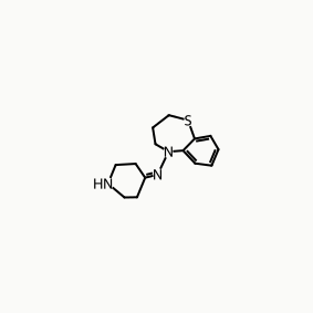 c1ccc2c(c1)SCCCN2N=C1CCNCC1